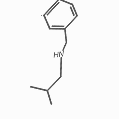 CC(C)CNCc1c[c]ccc1